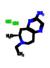 CCN1CCc2ncc(N)nc2C[C@H]1C.Cl.Cl